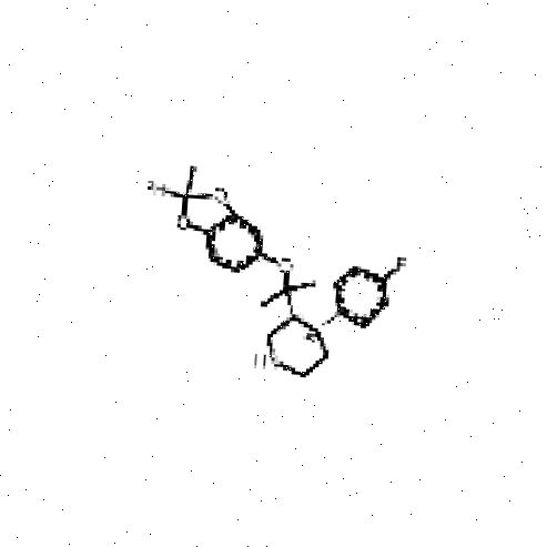 [2H]C1(C)Oc2ccc(OC(C)(C)[C@@H]3CNCC[C@H]3c3ccc(F)cc3)cc2O1